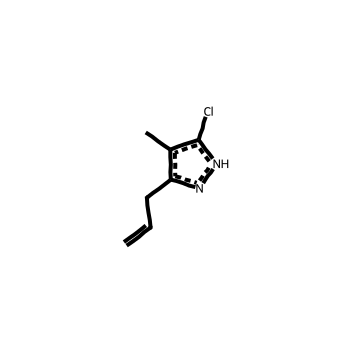 C=CCc1n[nH]c(Cl)c1C